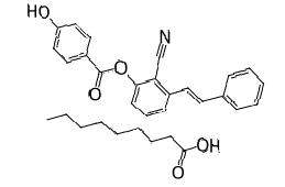 CCCCCCCCC(=O)O.N#Cc1c(C=Cc2ccccc2)cccc1OC(=O)c1ccc(O)cc1